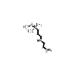 CO[Si](C)(C)CCCNCCN